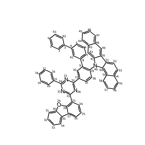 c1ccc(-c2cccc(-c3cc(-c4nc(-c5ccccc5)nc(-c5cccc6c5oc5ccccc56)n4)ccc3-n3c4cc5ccccc5cc4c4ccc5ccccc5c43)c2)cc1